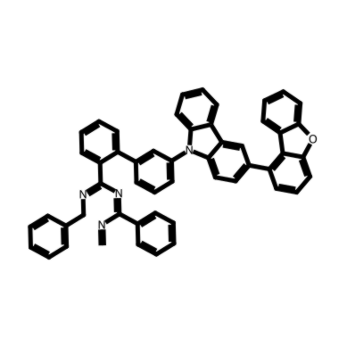 C=N/C(=N\C(=N/Cc1ccccc1)c1ccccc1-c1cccc(-n2c3ccccc3c3cc(-c4cccc5oc6ccccc6c45)ccc32)c1)c1ccccc1